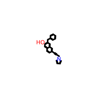 Oc1cc2ccc(C#CCn3cccc3)cc2cc1Cc1ccccc1